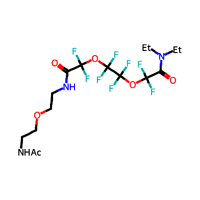 CCN(CC)C(=O)C(F)(F)OC(F)(F)C(F)(F)OC(F)(F)C(=O)NCCOCCNC(C)=O